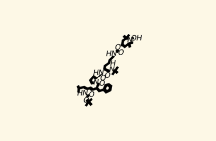 CC(C)CC(/C=C/C(Cc1ccccc1)C(=O)N1CCC[C@H]1C(=O)NC(CCCCNC(=O)OC1CC(C)(C)N(O)C(C)(C)C1)C(=O)NC(C)(C)C)NC(=O)OC(C)(C)C